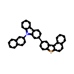 c1ccc2cc(-n3c4ccccc4c4ccc(-c5ccc6sc7ccc8ccccc8c7c6c5)cc43)ccc2c1